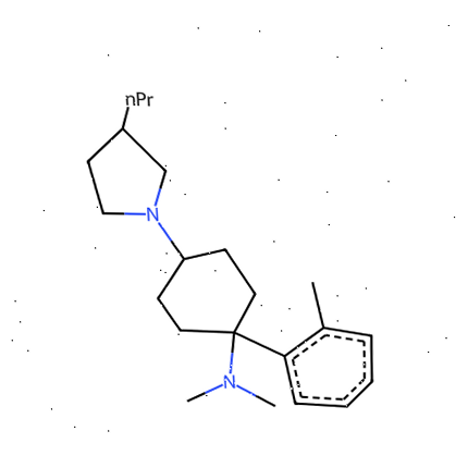 CCCC1CCN(C2CCC(c3ccccc3C)(N(C)C)CC2)C1